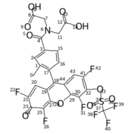 Cc1cc(C(=O)N(CC(=O)O)CC(=O)O)ccc1-c1c2cc(F)c(=O)c(F)c-2oc2c(F)c(OS(=O)(=O)C(F)(F)F)c(F)cc12